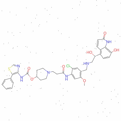 COc1cc(NC(=O)CCN2CCC(OC(=O)Nc3ncsc3-c3ccccc3)CC2)c(Cl)cc1CNCC(O)c1ccc(O)c2[nH]c(=O)ccc12